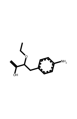 C=C(O)C(Cc1ccc(N)cc1)OCC